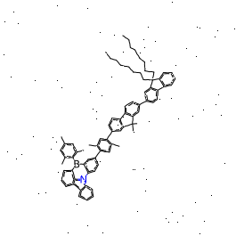 CCCCCCCCC1(CCCCCCCC)c2ccccc2-c2ccc(-c3ccc4c(c3)C(C)(C)c3cc(-c5cc(C)c(-c6ccc7c(c6)B(c6c(C)cc(C)cc6C)c6cccc8c9ccccc9n-7c68)cc5C)ccc3-4)cc21